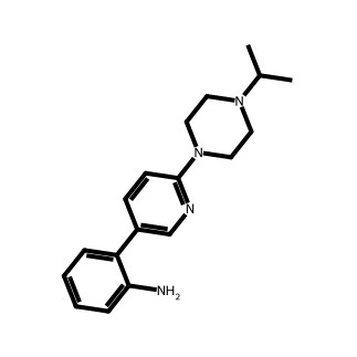 CC(C)N1CCN(c2ccc(-c3ccccc3N)cn2)CC1